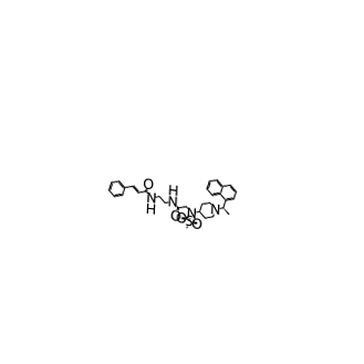 C[C@H](c1cccc2ccccc12)N1CCC(N(CC(=O)NCCNC(=O)C=Cc2ccccc2)S(C)(=O)=O)CC1